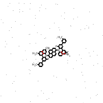 Cc1cccc(-c2cc(F)c(N(c3cccc(C#N)c3)c3ccc4ccc5c(N(c6cccc(C#N)c6)c6c(F)cc(-c7cccc(C)c7)cc6-c6cccc(C)c6)ccc6ccc3c4c65)c(-c3cccc(C)c3)c2)c1